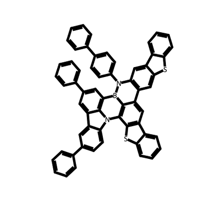 c1ccc(-c2ccc(N3B4c5c(cc6c(sc7ccccc76)c5-n5c6ccc(-c7ccccc7)cc6c6cc(-c7ccccc7)cc4c65)-c4cc5sc6ccccc6c5cc43)cc2)cc1